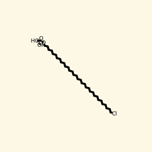 O=P(O)(O)OCCCCCCCCCCCCCCCCCCCCCCCCCCCCCCCCCCl